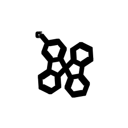 Clc1ccc2c(c1)-c1ccccc1C21c2ccccc2-c2ccccc21